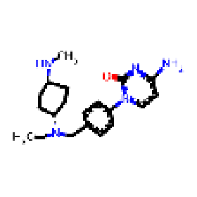 CCN(Cc1ccc(-n2ccc(N)nc2=O)cc1)[C@H]1CC[C@H](NC)CC1